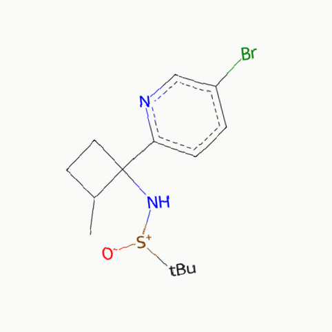 CC1CCC1(N[S+]([O-])C(C)(C)C)c1ccc(Br)cn1